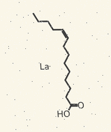 CCCC/C=C\CCCCCCCC(=O)O.[La]